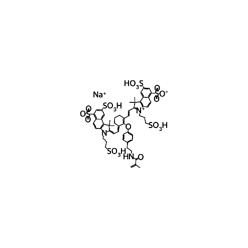 C=C(C)C(=O)NCCc1ccc(OC2=C(/C=C/C3=[N+](CCCS(=O)(=O)O)c4ccc5c(S(=O)(=O)[O-])cc(S(=O)(=O)O)cc5c4C3(C)C)CCC/C2=C\C=C2\N(CCCS(=O)(=O)O)c3ccc4c(S(=O)(=O)[O-])cc(S(=O)(=O)O)cc4c3C2(C)C)cc1.[Na+]